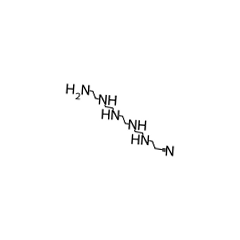 N#CCCNCCNCCNCCNCCN